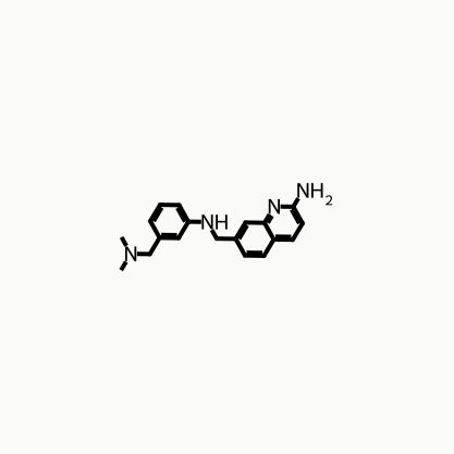 CN(C)Cc1cccc(NCc2ccc3ccc(N)nc3c2)c1